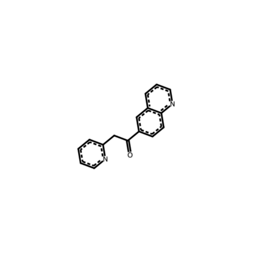 O=C(Cc1ccccn1)c1ccc2ncccc2c1